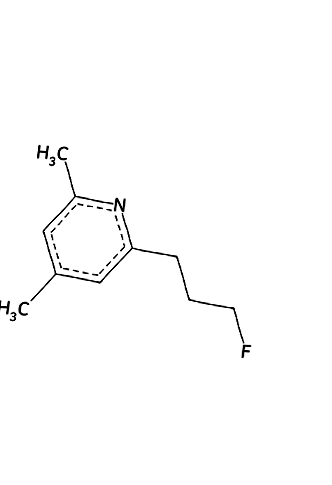 Cc1cc(C)nc(CCCF)c1